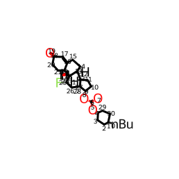 CCCCC1CCC(OC(=O)O[C@H]2CC[C@H]3[C@@H]4CCC5=CC(=O)CC[C@@H]5[C@H]4[C@@H](F)C[C@]23C)CC1